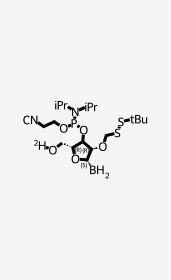 [2H]OC[C@H]1O[C@@H](B)[C@@H](OCSSC(C)(C)C)C1OP(OCC[N+]#[C-])N(C(C)C)C(C)C